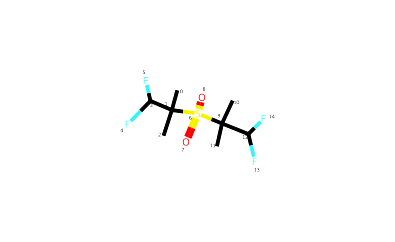 CC(C)(C(F)F)S(=O)(=O)C(C)(C)C(F)F